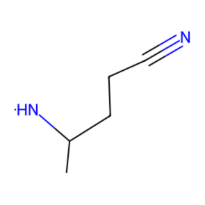 CC([NH])CCC#N